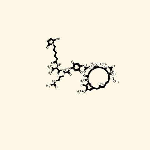 COc1cc2cc(c1Cl)N(C)C(=O)C[C@H](OC(=O)Nc1cc(F)c(NC(=O)[C@H](CCCNC(N)=O)NC(=O)[C@@H](NC(=O)CCCCCN3C(=O)C=CC3O)C(C)C)cc1Cl)[C@]1(C)O[C@H]1[C@H](C)[C@@H]1C[C@@](O)(NC(=O)O1)[C@H](OC)/C=C/C=C(\C)C2